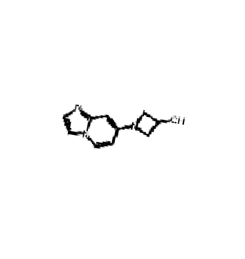 OC1CN(c2ccn3ccnc3c2)C1